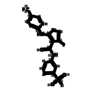 Cc1nsc(Nc2cnc(C(F)(F)F)cn2)c1C(=O)Nc1cccc(S(C)(=O)=O)c1